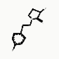 O=C1C(Br)CCN1CCc1ccc(F)cc1